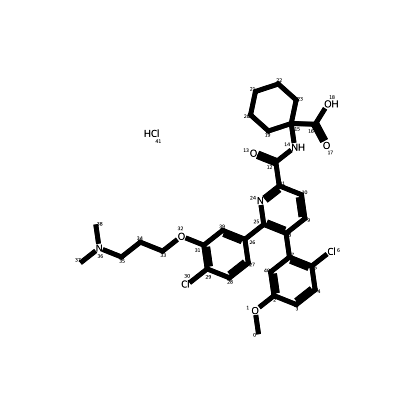 COc1ccc(Cl)c(-c2ccc(C(=O)NC3(C(=O)O)CCCCC3)nc2-c2ccc(Cl)c(OCCCN(C)C)c2)c1.Cl